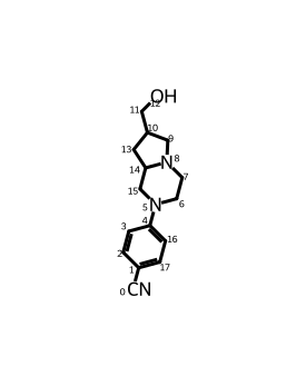 N#Cc1ccc(N2CCN3CC(CO)CC3C2)cc1